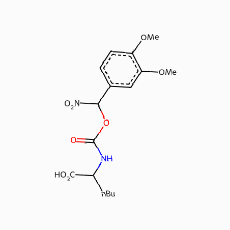 CCCCC(NC(=O)OC(c1ccc(OC)c(OC)c1)[N+](=O)[O-])C(=O)O